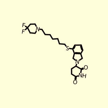 O=C1CCC(N2Cc3cccc(SCCCCCCCN4CCC(F)(F)CC4)c3C2)C(=O)N1